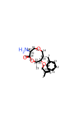 C=C(C)CO[C@@H]1[C@@H](Cc2ccccc2)COC[C@H](N)C(=O)O[C@H]1C